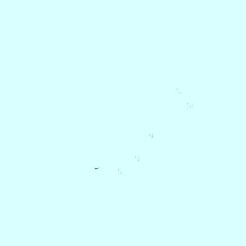 COCOCc1cccc([C@H]2CC(C(=O)N[C@@H](C)C(=O)NCc3ccc(C(=N)NC(=O)OCc4ccccc4)cc3)N(C(=O)O)C2)c1